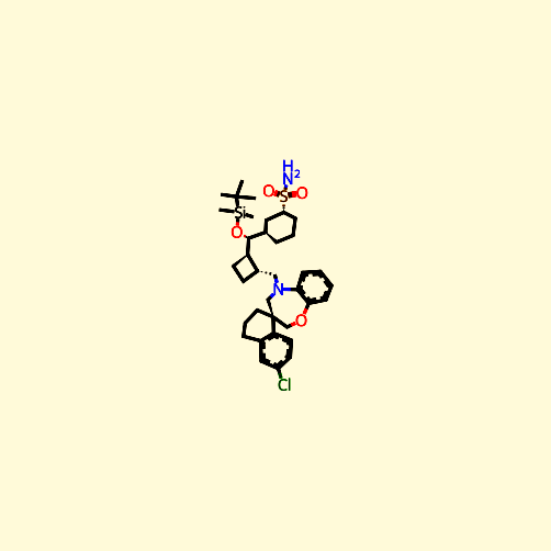 CC(C)(C)[Si](C)(C)O[C@H]([C@@H]1CCC[C@@H](S(N)(=O)=O)C1)[C@@H]1CC[C@H]1CN1C[C@@]2(CCCc3cc(Cl)ccc32)COc2ccccc21